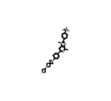 Cc1nc(-c2ccc(N3CC4(C3)CN(C3COC3)C4)cc2)cc2c1nc(-c1ccc(S(C)(=O)=O)cc1)n2C